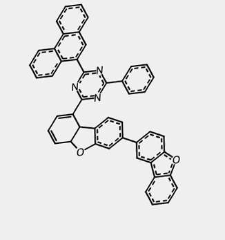 C1=CC2Oc3cc(-c4ccc5oc6ccccc6c5c4)ccc3C2C(c2nc(-c3ccccc3)nc(-c3cc4ccccc4c4ccccc34)n2)=C1